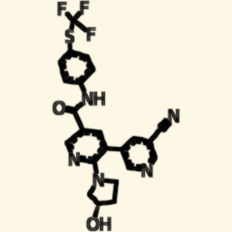 N#Cc1cncc(-c2cc(C(=O)Nc3ccc(SC(F)(F)F)cc3)cnc2N2CC[C@@H](O)C2)c1